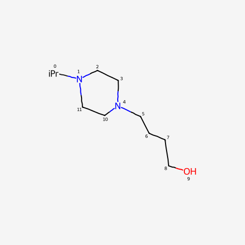 CC(C)N1CCN(CCCCO)CC1